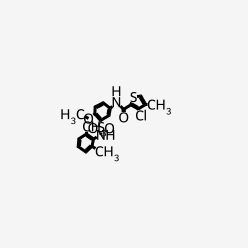 COc1ccc(NC(=O)c2scc(C)c2Cl)cc1S(=O)(=O)Nc1c(C)cccc1C